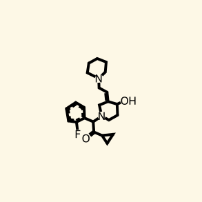 O=C(C1CC1)C(c1ccccc1F)N1CCC(O)/C(=C/CN2CCCCC2)C1